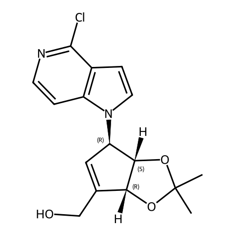 CC1(C)O[C@@H]2[C@H](O1)C(CO)=C[C@H]2n1ccc2c(Cl)nccc21